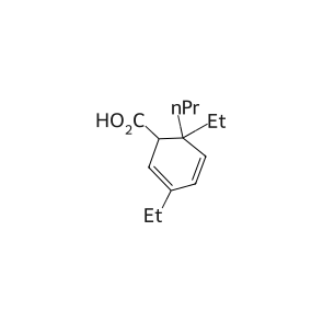 CCCC1(CC)C=CC(CC)=CC1C(=O)O